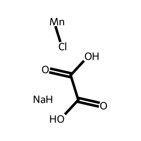 O=C(O)C(=O)O.[Cl][Mn].[NaH]